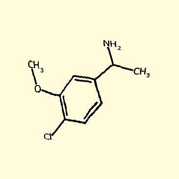 COc1cc(C(C)N)ccc1Cl